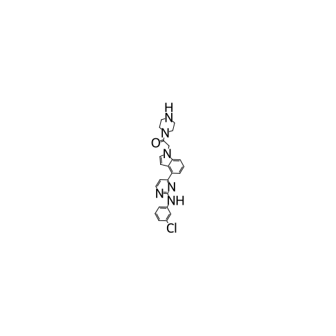 O=C(Cn1ccc2c(-c3ccnc(Nc4cccc(Cl)c4)n3)cccc21)N1CCNCC1